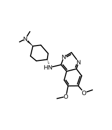 COc1cc2ncnc(N[C@H]3CC[C@H](N(C)C)CC3)c2cc1OC